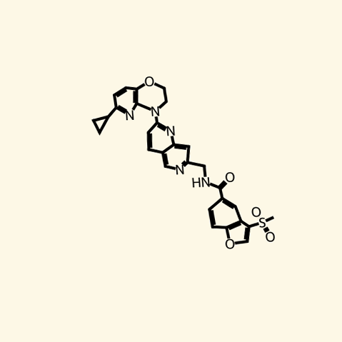 CS(=O)(=O)c1coc2ccc(C(=O)NCc3cc4nc(N5CCOc6ccc(C7CC7)nc65)ccc4cn3)cc12